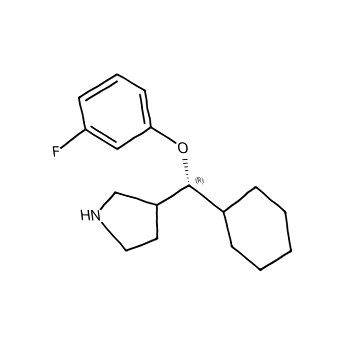 Fc1cccc(O[C@H](C2CCCCC2)C2CCNC2)c1